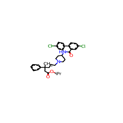 CC(C)OC(=O)CC(C)(CCCN1CCC(NC(=O)c2cc(Cl)ccc2-c2ccc(Cl)cc2)CC1)c1ccccc1